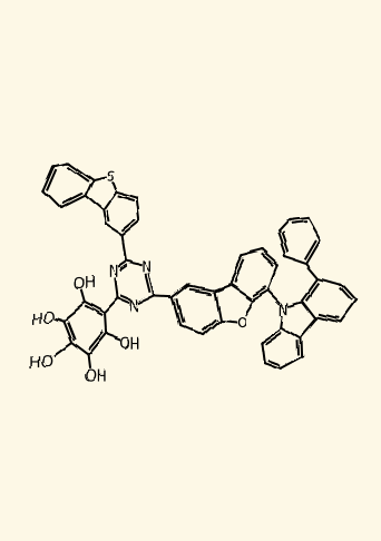 Oc1c(O)c(O)c(-c2nc(-c3ccc4oc5c(-n6c7ccccc7c7cccc(-c8ccccc8)c76)cccc5c4c3)nc(-c3ccc4sc5ccccc5c4c3)n2)c(O)c1O